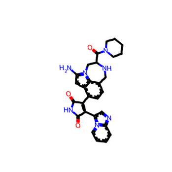 Nc1cc2c(C3=C(c4cnc5ccccn45)C(=O)NC3=O)ccc3c2n1CC(C(=O)N1CCCCC1)NC3